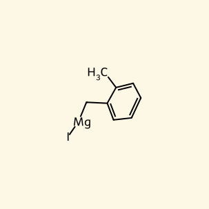 Cc1ccccc1[CH2][Mg][I]